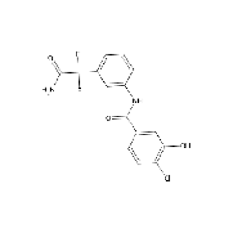 NC(=O)C(F)(F)c1cccc(NC(=O)c2ccc(Cl)c(O)c2)c1